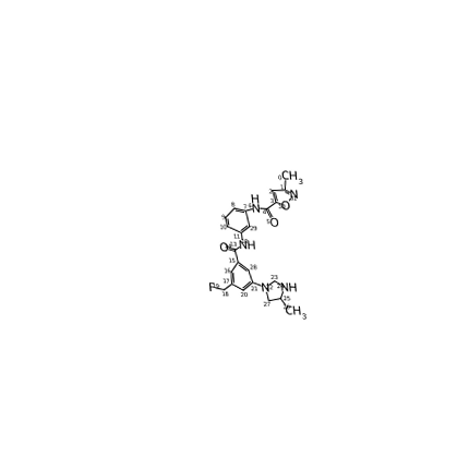 Cc1cc(C(=O)Nc2cccc(NC(=O)c3cc(CF)cc(N4CNC(C)C4)c3)c2)on1